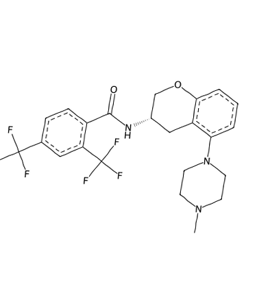 CN1CCN(c2cccc3c2C[C@H](NC(=O)c2ccc(C(F)(F)F)cc2C(F)(F)F)CO3)CC1